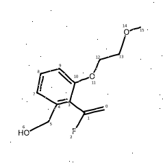 C=C(F)c1c(CO)cccc1OCCOC